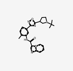 Cc1ccc(-c2noc(C3CCN(C(C)(C)C)C3)n2)cc1NC(=O)c1cnc2ccccn12